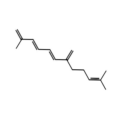 C=C(C)C=CC=CC(=C)CCC=C(C)C